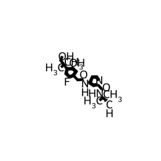 C#CC(C)(C)NC(=O)c1cc(NC(=O)Cc2cc(O)c(C(C)(C)CO)cc2F)ccn1